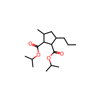 CCCC1CC(C)C(C(=O)OC(C)C)C1C(=O)OC(C)C